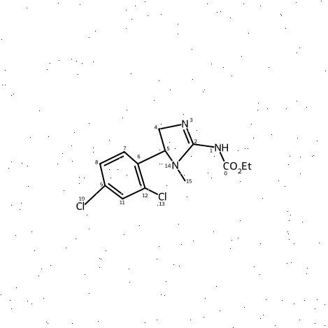 CCOC(=O)NC1=NCC(c2ccc(Cl)cc2Cl)N1C